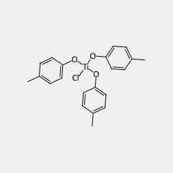 Cc1ccc([O][Ti]([Cl])([O]c2ccc(C)cc2)[O]c2ccc(C)cc2)cc1